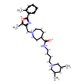 Cc1ccccc1-c1nc(CN2CCCC(C(=O)NCCCCN3CC(C)CC(C)C3)CC2)c(C)o1